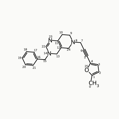 Cc1ccc(C#CCN2CCC3=C(CN(Cc4ccccc4)C=N3)C2)o1